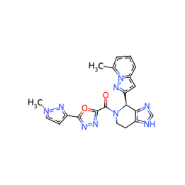 Cc1cccc2cc([C@H]3c4nc[nH]c4CCN3C(=O)c3nnc(-c4ccn(C)n4)o3)nn12